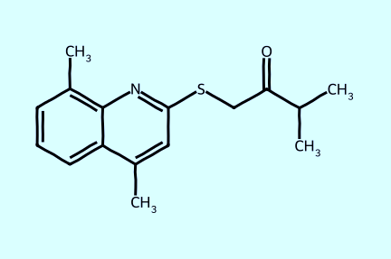 Cc1cc(SCC(=O)C(C)C)nc2c(C)cccc12